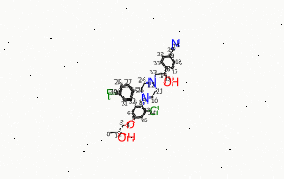 C[C@H](O)COc1ccc(N2CCN(C[C@@H](O)c3ccc(C#N)cc3)C[C@H]2c2ccc(F)cc2)c(Cl)c1